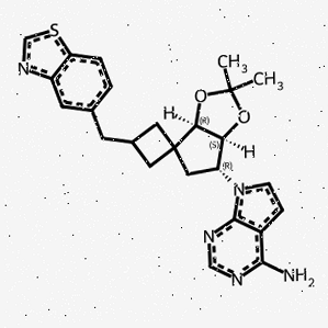 CC1(C)O[C@H]2[C@H](n3ccc4c(N)ncnc43)CC3(CC(Cc4ccc5scnc5c4)C3)[C@H]2O1